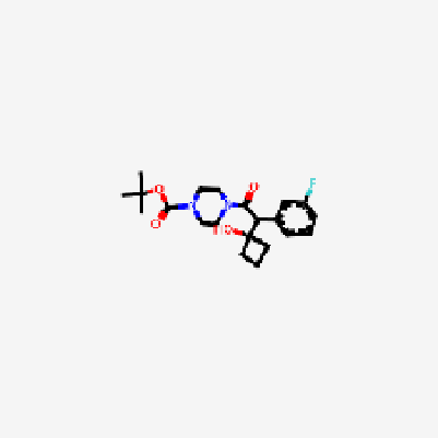 CC(C)(C)OC(=O)N1CCN(C(=O)C(c2cccc(F)c2)C2(O)CCC2)CC1